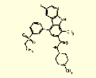 CCS(=O)(=O)c1cccc(-c2cc(C(=O)NC3CCN(C)CC3)c(C)c3[nH]c4ncc(I)cc4c23)c1